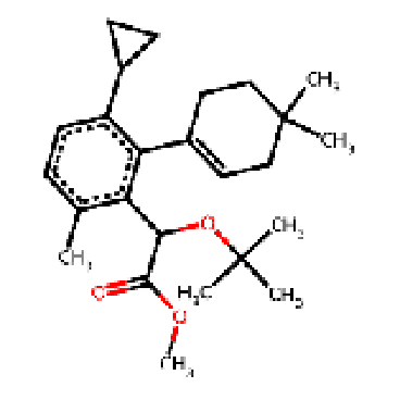 COC(=O)C(OC(C)(C)C)c1c(C)ccc(C2CC2)c1C1=CCC(C)(C)CC1